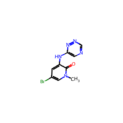 Cn1cc(Br)cc(Nc2cncnn2)c1=O